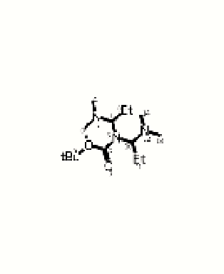 CCC(N(C)C)N(C(=O)OC(C)(C)C)C(CC)N(C)C